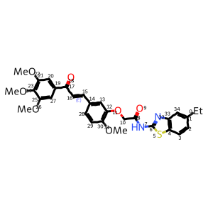 CCc1ccc2sc(NC(=O)COc3cc(/C=C/C(=O)c4cc(OC)c(OC)c(OC)c4)ccc3OC)nc2c1